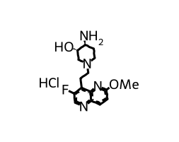 COc1ccc2ncc(F)c(CCN3CC[C@H](N)[C@@H](O)C3)c2n1.Cl